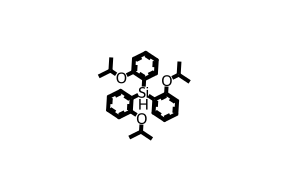 CC(C)Oc1ccccc1[SiH](c1ccccc1OC(C)C)c1ccccc1OC(C)C